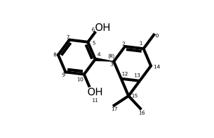 CC1=C[C@H](c2c(O)cccc2O)C2C(C1)C2(C)C